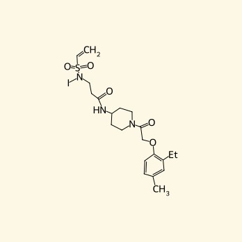 C=CS(=O)(=O)N(I)CCC(=O)NC1CCN(C(=O)COc2ccc(C)cc2CC)CC1